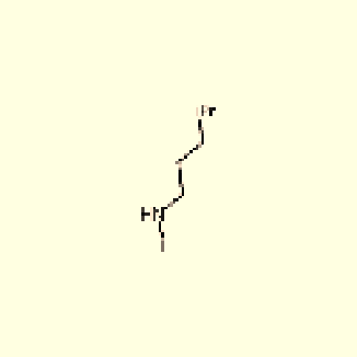 CC(C)CCCNI